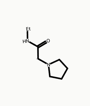 CCNC(=O)[CH]N1CCCC1